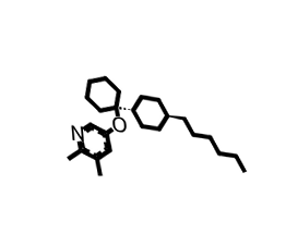 CCCCCC[C@H]1CC[C@H](C2(Oc3cnc(C)c(C)c3)CCCCC2)CC1